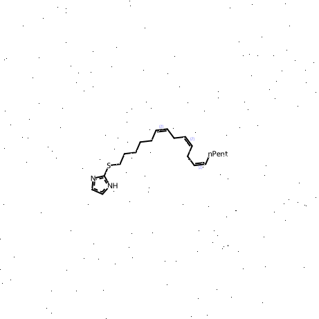 CCCCC/C=C\C/C=C\C/C=C\CCCCCSc1ncc[nH]1